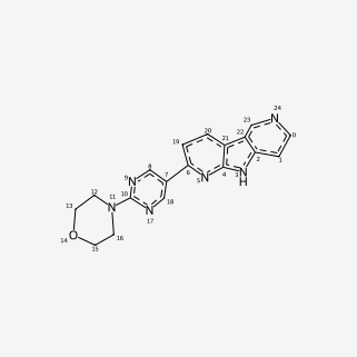 c1cc2[nH]c3nc(-c4cnc(N5CCOCC5)nc4)ccc3c2cn1